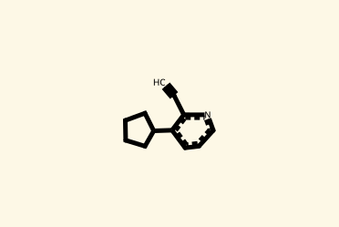 C#Cc1ncccc1C1CCCC1